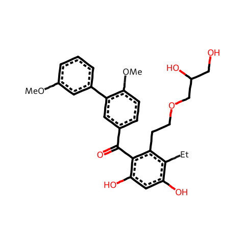 CCc1c(O)cc(O)c(C(=O)c2ccc(OC)c(-c3cccc(OC)c3)c2)c1CCOCC(O)CO